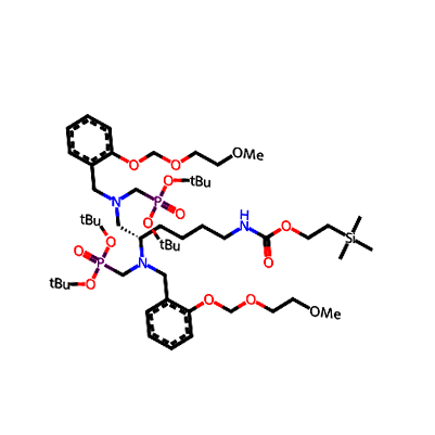 COCCOCOc1ccccc1CN(C[C@H](CCCCNC(=O)OCC[Si](C)(C)C)N(Cc1ccccc1OCOCCOC)CP(=O)(OC(C)(C)C)OC(C)(C)C)CP(=O)(OC(C)(C)C)OC(C)(C)C